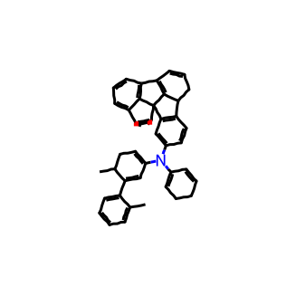 Cc1ccccc1C1=CC(N(C2=CCCC=C2)c2ccc3c(c2)C24C5=C(C=CCC53)c3cccc(c32)-c2ccccc24)=CCC1C